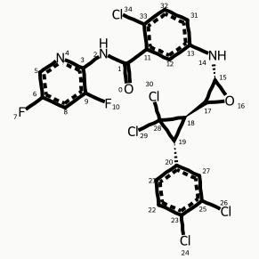 O=C(Nc1ncc(F)cc1F)c1cc(N[C@@H]2OC2[C@H]2[C@H](c3ccc(Cl)c(Cl)c3)C2(Cl)Cl)ccc1Cl